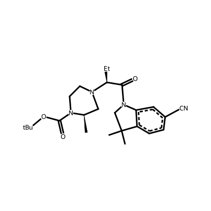 CC[C@@H](C(=O)N1CC(C)(C)c2ccc(C#N)cc21)N1CCN(C(=O)OC(C)(C)C)[C@H](C)C1